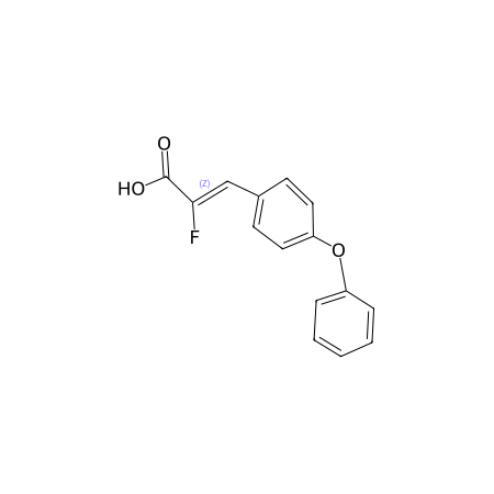 O=C(O)/C(F)=C/c1ccc(Oc2ccccc2)cc1